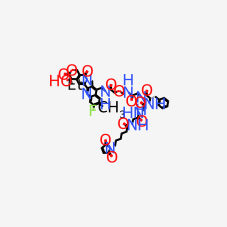 CC[C@@]1(O)C(=O)OCc2c1cc1n(c2=O)Cc2c-1nc1cc(F)c(C)cc1c2CNC(=O)COCNC(=O)CNC(=O)[C@H](Cc1ccccc1)NC(=O)CNC(=O)CNC(=O)CCCCCN1C(=O)C=CC1=O